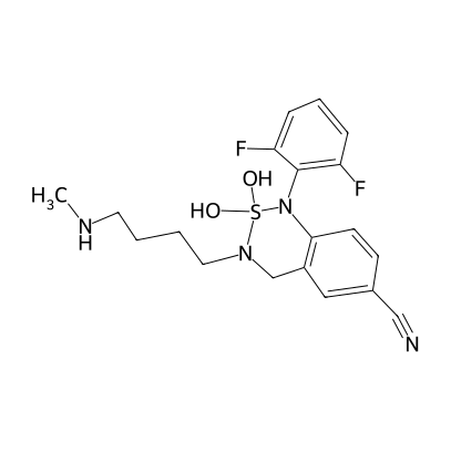 CNCCCCN1Cc2cc(C#N)ccc2N(c2c(F)cccc2F)S1(O)O